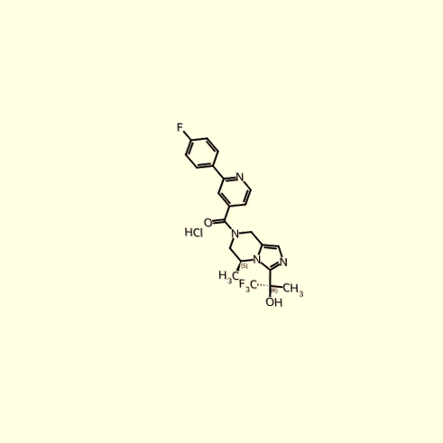 C[C@H]1CN(C(=O)c2ccnc(-c3ccc(F)cc3)c2)Cc2cnc([C@@](C)(O)C(F)(F)F)n21.Cl